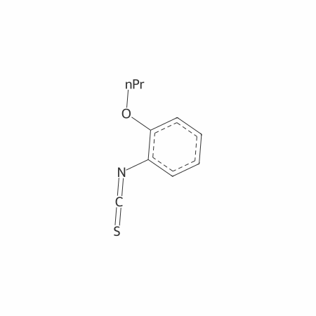 CCCOc1ccccc1N=C=S